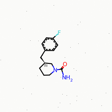 NC(=O)N1CCC[C@@H](Cc2ccc(F)cc2)C1